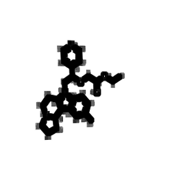 CCOC(=O)COC(Cn1c2c(c3cc(C)ccc31)C1CCCN1CC2)c1ccncc1